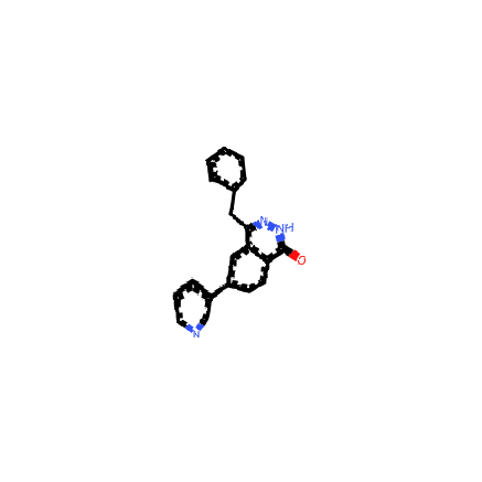 O=c1[nH]nc(Cc2ccccc2)c2cc(-c3cccnc3)ccc12